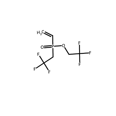 C=CP(=O)(CC(F)(F)F)OCC(F)(F)F